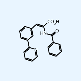 O=C(O)C(=Cc1cccc(-c2ccccn2)c1)NC(=O)c1ccccc1